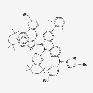 Cc1cccc(C)c1-c1cc2c3c(c1)N(c1ccc(C(C)(C)C)cc1-c1ccccc1)c1c(oc4cc5c(cc14)C(C)(C)CCC5(C)C)B3N(c1ccc3c(c1)C(C)(C)CCC3(C)C)c1cc(N(c3ccc(C(C)(C)C)cc3)c3ccc(C(C)(C)C)cc3)ccc1-2